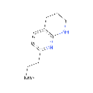 CNCCc1ccc2c(n1)NCCC2